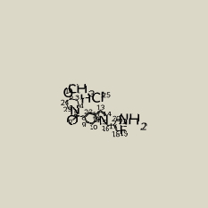 COC1CCN(C(=O)c2ccc3c(ccn3C/C(=C/F)CN)c2)CC1.Cl